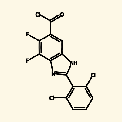 O=C(Cl)c1cc2[nH]c(-c3c(Cl)cccc3Cl)nc2c(F)c1F